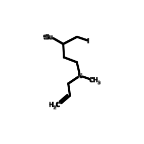 C=CCN(C)CCC(CI)C(C)(C)C